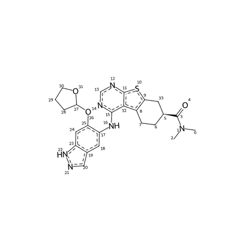 CN(C)C(=O)[C@H]1CCc2c(sc3ncnc(Nc4cc5cn[nH]c5cc4OC4CCCO4)c23)C1